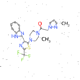 Cc1ccn(CC(=O)N2CCN(c3sc(C(F)(F)F)nc3-c3nc4ccccc4[nH]3)C[C@H]2C)n1